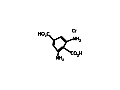 Nc1cc(C(=O)O)cc(N)c1C(=O)O.[Cr]